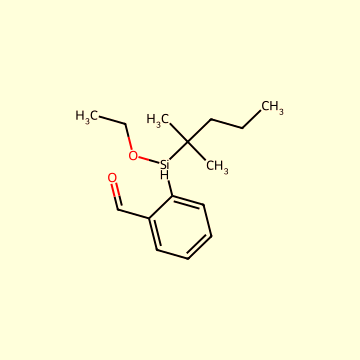 CCCC(C)(C)[SiH](OCC)c1ccccc1C=O